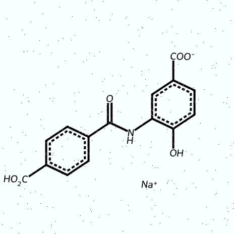 O=C([O-])c1ccc(O)c(NC(=O)c2ccc(C(=O)O)cc2)c1.[Na+]